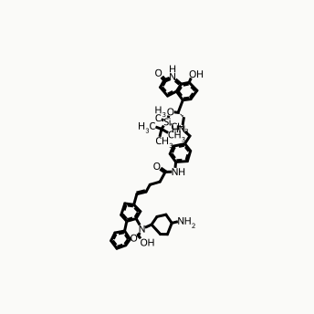 CC(C)(C)[Si](C)(C)O[C@@H](CNCc1ccc(NC(=O)CCC=Cc2ccc(-c3ccccc3)c(N(C(=O)O)C3CCC(N)CC3)c2)cc1)c1ccc(O)c2[nH]c(=O)ccc12